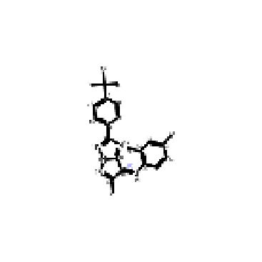 CC1=Nn2nc(-c3ccc(C(C)(C)C)cc3)nc2/C1=N\c1ccc(C)cc1C